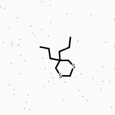 CCCC1(CCC)CSCSC1